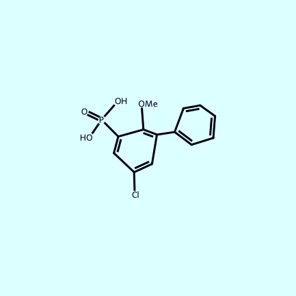 COc1c(-c2ccccc2)cc(Cl)cc1P(=O)(O)O